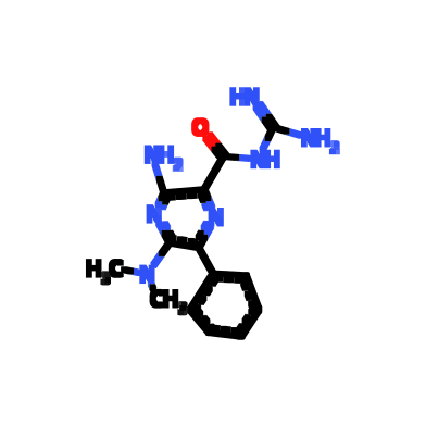 CN(C)c1nc(N)c(C(=O)NC(=N)N)nc1-c1ccccc1